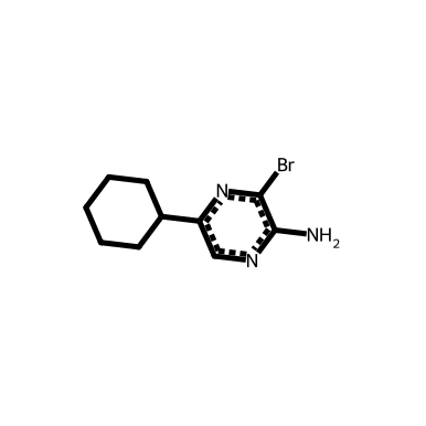 Nc1ncc(C2CCCCC2)nc1Br